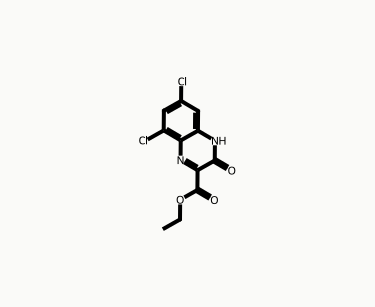 CCOC(=O)c1nc2c(Cl)cc(Cl)cc2[nH]c1=O